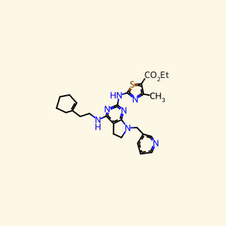 CCOC(=O)c1sc(Nc2nc(NCCC3=CCCCC3)c3c(n2)N(Cc2cccnc2)CC3)nc1C